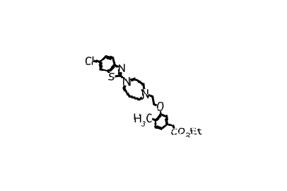 CCOC(=O)Cc1ccc(C)c(OCCN2CCCN(c3nc4ccc(Cl)cc4s3)CC2)c1